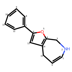 C1=CNCc2oc(-c3ccccc3)cc2C1